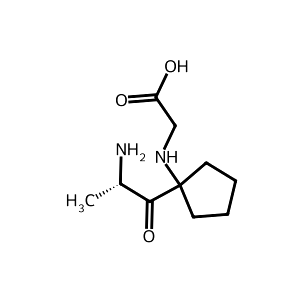 C[C@H](N)C(=O)C1(NCC(=O)O)CCCC1